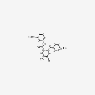 N#Cc1cccc(NC(=O)c2cc(Cl)c(Cl)cc2Oc2ccc(F)cc2)c1